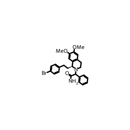 COc1cc2c(cc1OC)[C@H](CCc1ccc(Br)cc1)N(C(C(N)=O)c1ccccc1)CC2